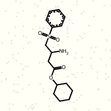 NC(CC(=O)OC1CCCCC1)CS(=O)(=O)c1ccccc1